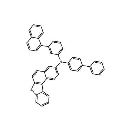 c1ccc(-c2ccc(N(c3cccc(-c4cccc5ccccc45)c3)c3ccc4c(ccc5sc6ccccc6c54)c3)cc2)cc1